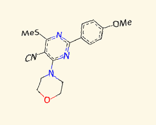 [C-]#[N+]c1c(SC)nc(-c2ccc(OC)cc2)nc1N1CCOCC1